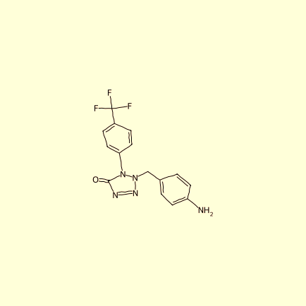 Nc1ccc(Cn2nnc(=O)n2-c2ccc(C(F)(F)F)cc2)cc1